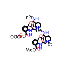 CCCNC(=O)C1CCC[N+](CC)(CC(=O)Nc2c(C)cccc2C(=O)OC)C1.CCCNC(=O)C1CCC[N+](CC)(CC(=O)Nc2c(C)cccc2C(=O)OC)C1.O=C([O-])[O-]